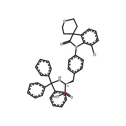 COC(=O)[C@H](Cc1ccc(N2C(=O)C3(CCOCC3)c3cccc(Cl)c32)cc1)NC(c1ccccc1)(c1ccccc1)c1ccccc1